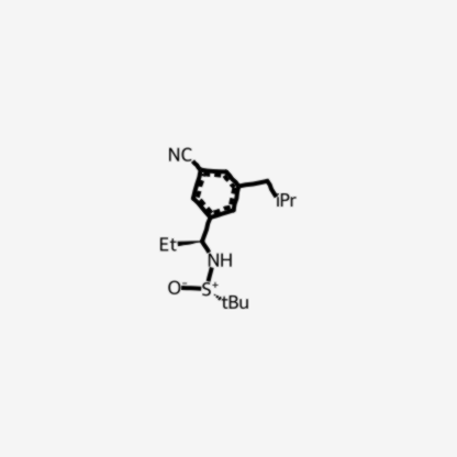 CC[C@H](N[S@@+]([O-])C(C)(C)C)c1cc(C#N)cc(CC(C)C)c1